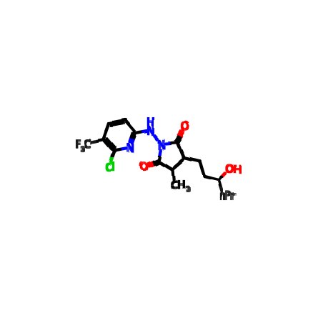 CCCC(O)CCC1C(=O)N(Nc2ccc(C(F)(F)F)c(Cl)n2)C(=O)C1C